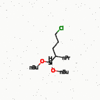 CCCCO[SiH](OCCCC)C(CCC)CCCCl